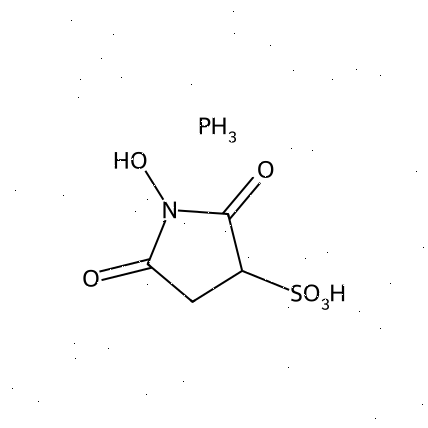 O=C1CC(S(=O)(=O)O)C(=O)N1O.P